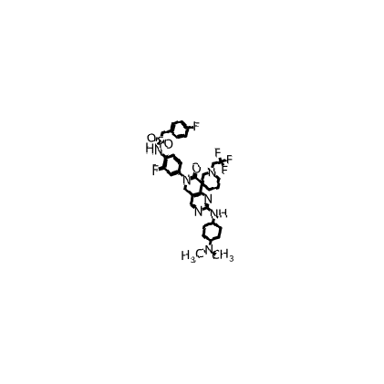 CN(C)C1CCC(Nc2ncc3c(n2)C2(CCCN(CC(F)(F)F)C2)C(=O)N(c2ccc(NS(=O)(=O)Cc4ccc(F)cc4)c(F)c2)C3)CC1